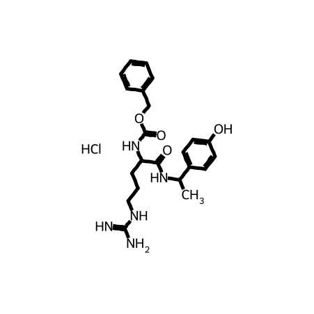 CC(NC(=O)C(CCCNC(=N)N)NC(=O)OCc1ccccc1)c1ccc(O)cc1.Cl